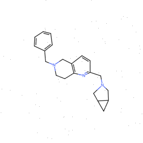 c1ccc(CN2CCc3nc(CN4CC5CC5C4)ccc3C2)cc1